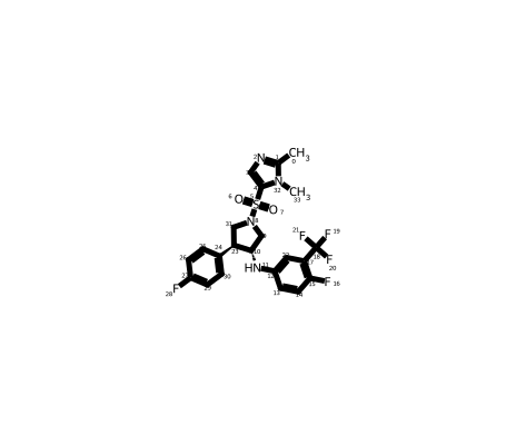 Cc1ncc(S(=O)(=O)N2C[C@H](Nc3ccc(F)c(C(F)(F)F)c3)[C@@H](c3ccc(F)cc3)C2)n1C